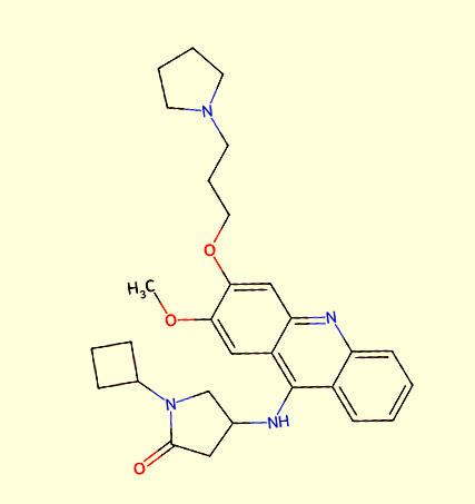 COc1cc2c(NC3CC(=O)N(C4CCC4)C3)c3ccccc3nc2cc1OCCCN1CCCC1